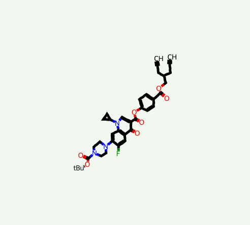 C#CCC(CC#C)COC(=O)c1ccc(OC(=O)c2cn(C3CC3)c3cc(N4CCN(C(=O)OC(C)(C)C)CC4)c(F)cc3c2=O)cc1